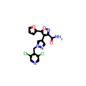 NC(=O)c1noc(-c2ccco2)c1-c1cnn(Cc2c(Cl)cncc2Cl)c1